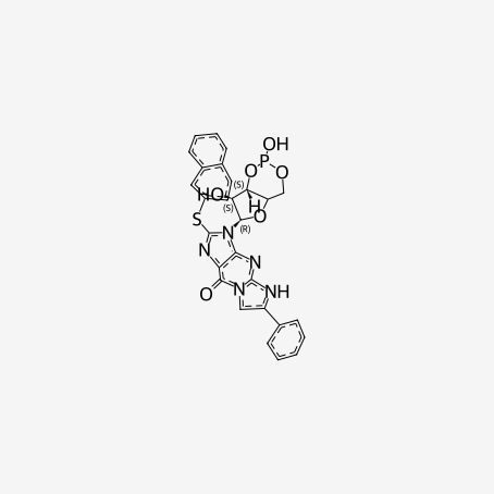 O=c1c2nc(Sc3ccc4ccccc4c3)n([C@@H]3OC4COP(O)O[C@H]4[C@@H]3O)c2nc2[nH]c(-c3ccccc3)cn12